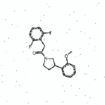 COc1ccccc1C1CCN(C(=O)Cc2c(F)cccc2F)C1